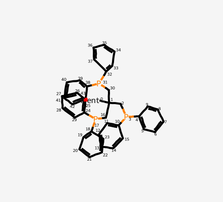 CCCCCC(CP(c1ccccc1)c1ccccc1)(CP(c1ccccc1)c1ccccc1)CP(c1ccccc1)c1ccccc1